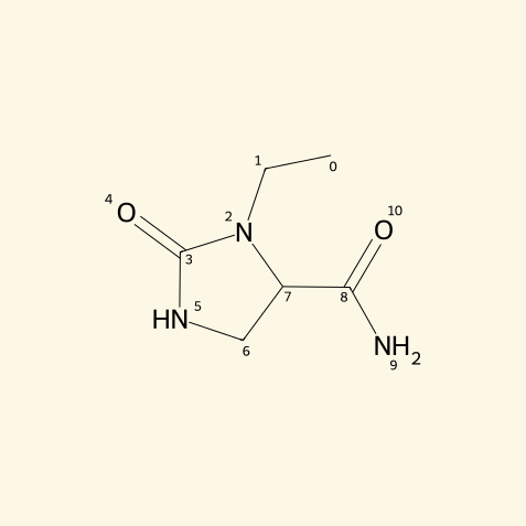 CCN1C(=O)NCC1C(N)=O